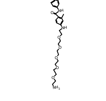 Cc1ccc(NC(=O)c2ccc(NCCOCCOCCOCCOCCOCCN)cc2C)cc1